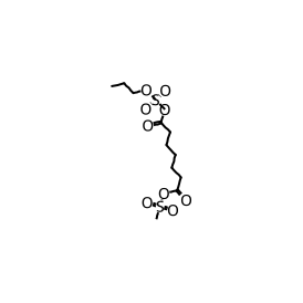 CCCOS(=O)(=O)OC(=O)CCCCCC(=O)OS(C)(=O)=O